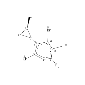 C[C@@H]1C[C@H]1c1c(Cl)cc(F)c(I)c1Br